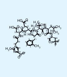 Cc1ccccc1C[C@H](NC(=O)[C@H](CCC(=O)O)NC(=O)[C@H](CC(=O)O)NC(=O)CCn1cc([N+](=O)[O-])nc1C)C(=O)N[C@H](C(=O)N[C@@H](CC(C)C)C(=O)N[C@H](C=O)CC(F)(F)F)C(C)(C)C